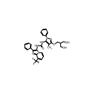 Cc1c(OCC(CO)CO)nn(-c2ccccc2)c1NC(=O)Nc1c(-c2ccccc2)nc2c(C(F)(F)F)cccn12